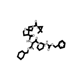 C[C@@H](OCC1CCCCC1)[C@H](NC(=O)C1CCOC12CN(C(=O)[C@H]1CC1(C)C)C2)C(=O)N1CCC[C@@H](NC(=O)OCc2ccccc2)C1